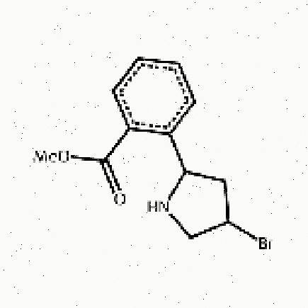 COC(=O)c1ccccc1C1CC(Br)CN1